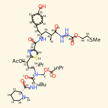 CCCC(=O)OCN(C(=O)[C@@H](NC(=O)[C@H]1CCCCN1C)[C@@H](C)CC)[C@H](C[C@@H](OC(C)=O)c1nc(C(=O)N[C@@H](Cc2ccc(O)cc2)C[C@H](C)C(=O)NNC(=O)OCCSC)cs1)C(C)C